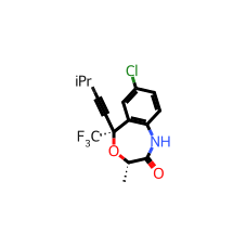 CC(C)C#C[C@]1(C(F)(F)F)O[C@@H](C)C(=O)Nc2ccc(Cl)cc21